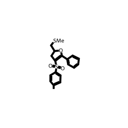 CSCC1CC(S(=O)(=O)c2ccc(C)cc2)=C(c2ccccc2)O1